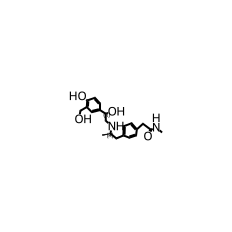 CNC(=O)Cc1ccc(C[C@@H](C)NC[C@H](O)c2ccc(O)c(CO)c2)cc1